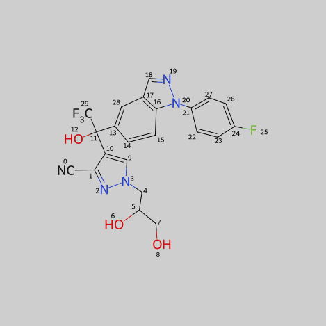 N#Cc1nn(CC(O)CO)cc1C(O)(c1ccc2c(cnn2-c2ccc(F)cc2)c1)C(F)(F)F